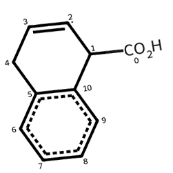 O=C(O)C1[C]=CCc2ccccc21